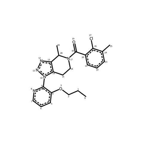 CCCOc1cccnc1-n1nnc2c1CCN(C(=O)c1cccc(C)c1Cl)C2C